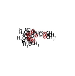 CC(C)(C)C(=O)Oc1ccc(-c2cc(=O)c3c(OC(=O)C(C)(C)C)c(OC(=O)C(C)(C)C)c(OC(=O)C(C)(C)C)cc3o2)cc1